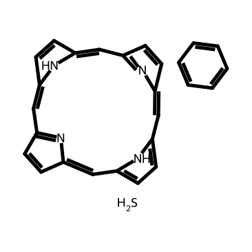 C1=Cc2cc3ccc(cc4nc(cc5ccc(cc1n2)[nH]5)C=C4)[nH]3.S.c1ccccc1